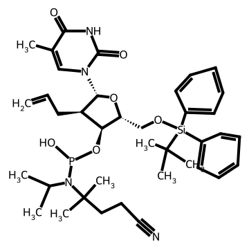 C=CC[C@@H]1[C@H](OP(O)N(C(C)C)C(C)(C)CCC#N)[C@@H](CO[Si](c2ccccc2)(c2ccccc2)C(C)(C)C)O[C@H]1n1cc(C)c(=O)[nH]c1=O